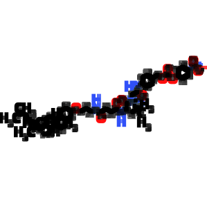 CC(C)CCC[C@@H](C)[C@H]1CC[C@H]2[C@@H]3CC=C4C[C@@H](OCCCNC(=O)CCC(=O)N[C@@H](CC(C)C)C(=O)NCC(=O)Nc5ccc(COC(=O)Oc6ccc([N+](=O)[O-])cc6)cc5)CC[C@]4(C)[C@H]3CC[C@]12C